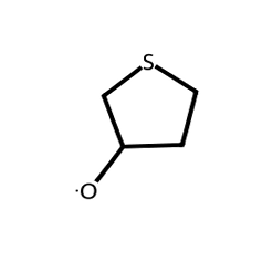 [O]C1CCSC1